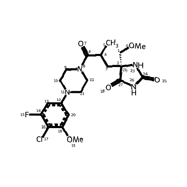 COC[C@]1(CC(C)C(=O)N2CCN(c3cc(F)c(Cl)c(OC)c3)CC2)NC(=O)NC1=O